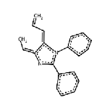 C=C/C=c1\c(=C/C)nc(-c2ccccc2)n1-c1ccccc1